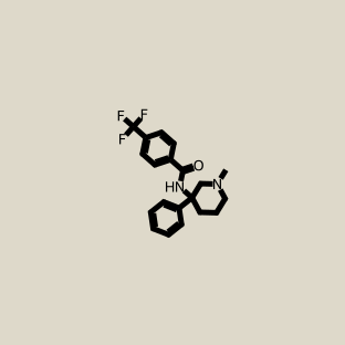 CN1CCCC(NC(=O)c2ccc(C(F)(F)F)cc2)(c2ccccc2)C1